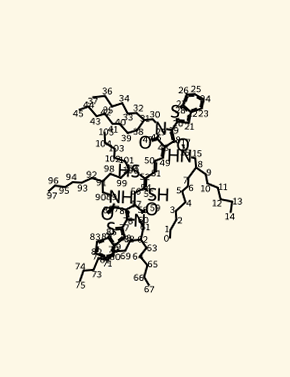 CCCCCCCCC(CCCCCC)CNOC1=C(c2cc3ccccc3s2)N(CC(CCCCCC)CCCCCCCC)C(=O)\C1=C/C=C/C(S)=C(\S)CC1C(=O)N(CC(CCCCC)CCCCCCCC)C(c2cc3ccccc3s2)=C1C(=O)NCC(CCCCCC)CCCCCCCC